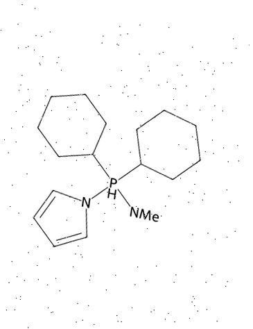 CN[PH](C1CCCCC1)(C1CCCCC1)n1cccc1